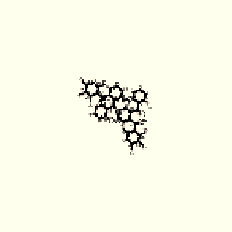 COc1cccc(Cl)c1C(=O)c1c(Oc2cccc(C(=O)c3c(C)cc(C)c(C)c3C)c2C(=O)c2c(Cl)cccc2OC)cccc1C(=O)c1c(C)cc(C)c(C)c1C